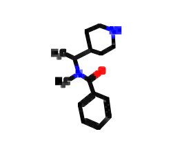 CC(C1CCNCC1)N(C)C(=O)c1ccccc1